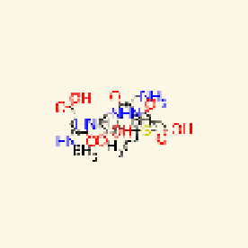 BN[C@@H](CCC(=O)O)C(=O)N[C@@H](CNC(=O)[C@H](CN)NC(=O)C(CC(=O)O)SC(B)(CC)CC)C(=O)O